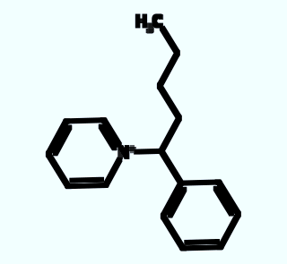 CCCCC(c1ccccc1)[n+]1ccccc1